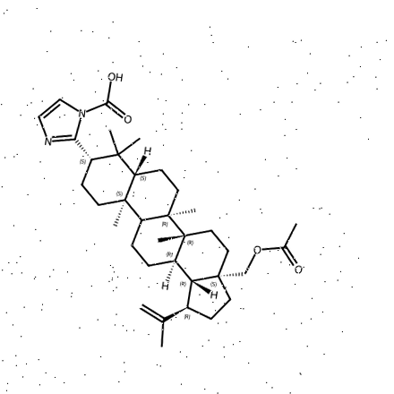 C=C(C)[C@@H]1CC[C@]2(COC(C)=O)CC[C@]3(C)[C@H](CCC4[C@@]5(C)CC[C@H](c6nccn6C(=O)O)C(C)(C)[C@@H]5CC[C@]43C)[C@@H]12